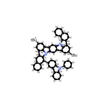 CC(C)(C)c1cc2c3cc4c(cc3n3c5c(-c6ccc7c(c6)c6ccccc6n7-c6ccccc6)c6ccccc6cc5c(c1)c23)c1cc(C(C)(C)C)cc2c3ccc5ccccc5c3n4c12